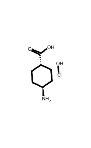 N[C@H]1CC[C@H](C(=O)O)CC1.OCl